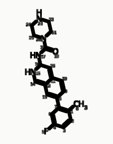 Cc1ccc(F)cc1-c1ccc2c(c1)=CNC(NC(=O)N1CCNCC1)C=2